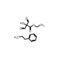 CCCc1ccccc1.CCOC(=O)C(O)(C=O)C=O